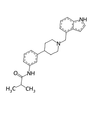 CC(C)C(=O)Nc1cccc(C2CCN(Cc3cccc4[nH]ccc34)CC2)c1